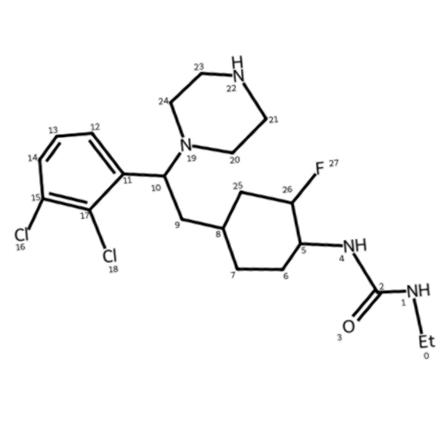 CCNC(=O)NC1CCC(CC(c2cccc(Cl)c2Cl)N2CCNCC2)CC1F